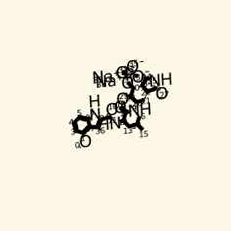 COc1cccc2[nH]c(C(=O)NC(CC(C)C)C(=O)NC(C[C@@H]3CCNC3=O)C(=O)COP(=O)([O-])[O-])cc12.[Na+].[Na+]